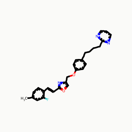 Cc1ccc(/C=C/c2nc(COc3ccc(CCCCc4ncccn4)cc3)co2)c(F)c1